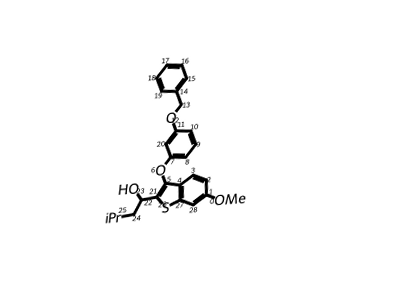 COc1ccc2c(Oc3cccc(OCc4ccccc4)c3)c(C(O)CC(C)C)sc2c1